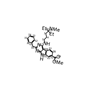 CCC(CC)(CCCNc1nc(Cc2ccccc2)nc2[nH]c3cc(C(=O)OC)ccc3c12)NC